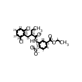 CCOC(=O)c1ccc([N+](=O)[O-])c(NC(=O)C(CC)Cc2c(Cl)cccc2Cl)c1